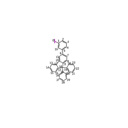 Ic1cccc(-c2ccc3c(c2)-c2ccccc2C3(c2ccccc2)c2ccccc2)c1